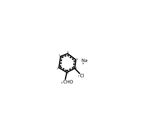 O=Cc1ccccc1Cl.[Na]